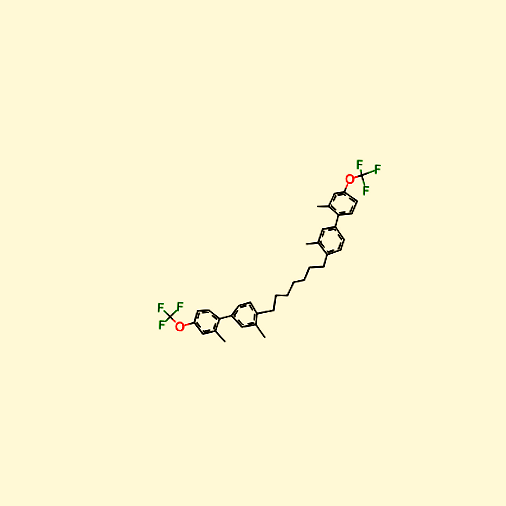 Cc1cc(-c2ccc(OC(F)(F)F)cc2C)ccc1CCCCCCCc1ccc(-c2ccc(OC(F)(F)F)cc2C)cc1C